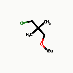 CC(C)(CCl)COC(C)(C)C